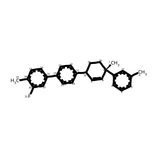 Cc1cccc([C@]2(C)C=CC(c3ccc(-c4ccc(C)c(F)c4)cc3)CC2)c1